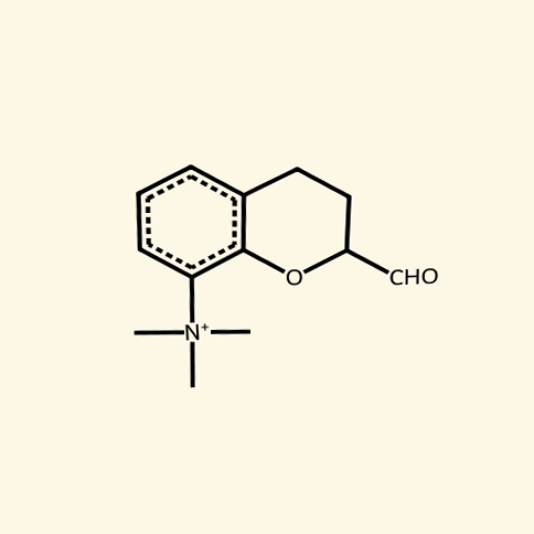 C[N+](C)(C)c1cccc2c1OC(C=O)CC2